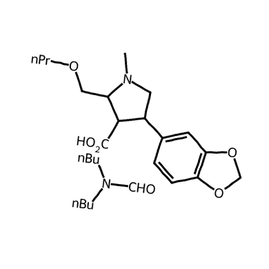 CCCCN(C=O)CCCC.CCCOCC1C(C(=O)O)C(c2ccc3c(c2)OCO3)CN1C